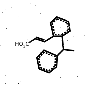 CC(c1ccccc1)c1ccccc1/C=C/C(=O)O